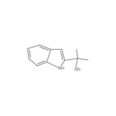 CCCC(C)(C)c1cc2ccccc2[nH]1